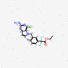 CCOC(=O)C(F)(F)c1ccc(C)c(Cn2ccc3nc(N)nc(Cl)c32)c1